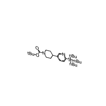 CCC[CH2][Sn]([CH2]CCC)([CH2]CCC)[c]1ccc(C2CCN(C(=O)OC(C)(C)C)CC2)cn1